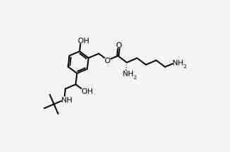 CC(C)(C)NCC(O)c1ccc(O)c(COC(=O)[C@@H](N)CCCCN)c1